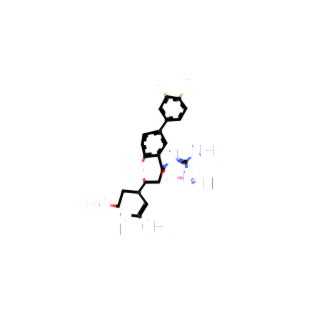 CC(C)=CC(CCO)C1CC2(N=C(N)N(C)O2)c2cc(-c3ccc(F)c(F)c3)ccc2O1